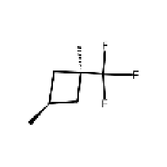 C[C@H]1C[C@@](C)(C(F)(F)F)C1